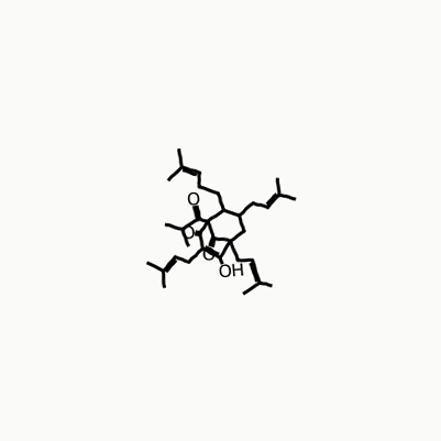 CC(C)=CCCC1C(CC=C(C)C)CC2(CC=C(C)C)C(=O)C1(C(=O)C(C)C)C(=O)C(CC=C(C)C)=C2O